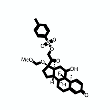 COCO[C@]1(C(=O)COS(=O)(=O)c2ccc(C)cc2)CC[C@H]2[C@@H]3CCC4=CC(=O)C=C[C@]4(C)[C@@]3(F)C(O)C[C@@]21C